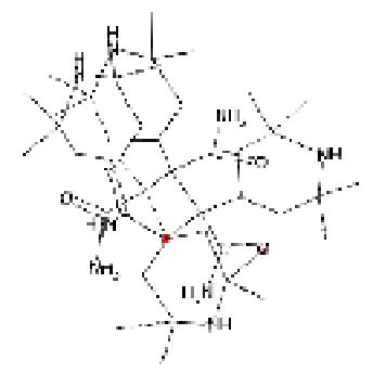 CC1(C)CC(C(CC(N)=O)(C(N)=O)C(C(N)=O)(C2CC(C)(C)NC(C)(C)C2)C(C(N)=O)(C2CC(C)(C)NC(C)(C)C2)C2CC(C)(C)NC(C)(C)C2)CC(C)(C)N1